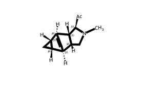 CC(=O)[C@@H]1[C@H]2[C@H]3C=C[C@@H]([C@H]2CN1C)[C@@H]1C[C@H]31